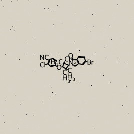 CC1(C)C(Oc2ccc(C#N)c(Cl)c2)C(C)(C)C1N1Cc2cc(Br)ccc2C1=O